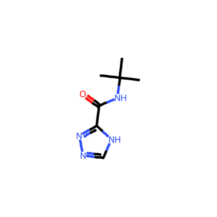 CC(C)(C)NC(=O)c1nnc[nH]1